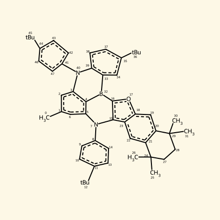 Cc1cc2c3c(c1)N(c1ccc(C(C)(C)C)cc1)c1c(oc4cc5c(cc14)C(C)(C)CCC5(C)C)B3c1cc(C(C)(C)C)ccc1N2c1ccc(C(C)(C)C)cc1